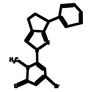 Cn1c(-n2cc3c(n2)C(c2ccccc2)CC3)cc(Br)cc1=O